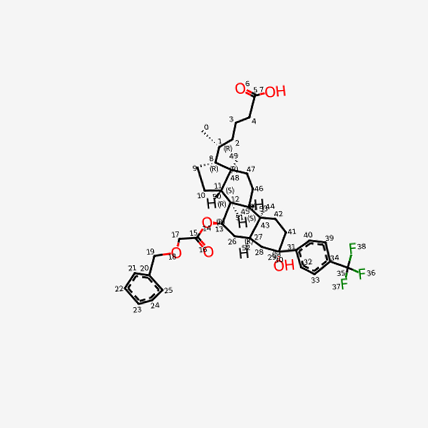 C[C@H](CCCC(=O)O)[C@H]1CC[C@H]2[C@@H]3[C@H](OC(=O)COCc4ccccc4)C[C@@H]4C[C@](O)(c5ccc(C(F)(F)F)cc5)CC[C@]4(C)[C@H]3CC[C@]12C